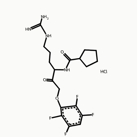 Cl.N=C(N)NCCCC(NC(=O)C1CCCC1)C(=O)COc1c(F)c(F)cc(F)c1F